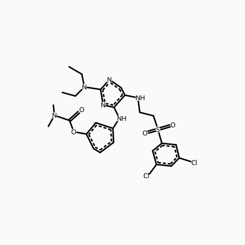 CCN(CC)c1ncc(NCCS(=O)(=O)c2cc(Cl)cc(Cl)c2)c(Nc2[c]c(OC(=O)N(C)C)ccc2)n1